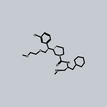 CNC[C@H](CC1CCCCC1)NC(=O)N1CCC[C@@H]([C@@H](COCCOC)c2cccc(Cl)c2)C1